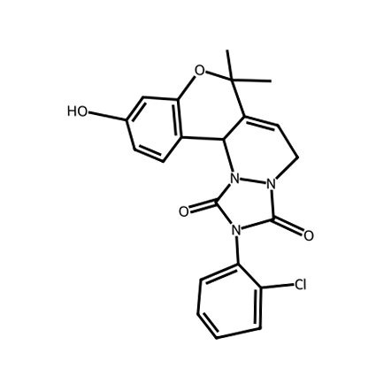 CC1(C)Oc2cc(O)ccc2C2C1=CCn1c(=O)n(-c3ccccc3Cl)c(=O)n12